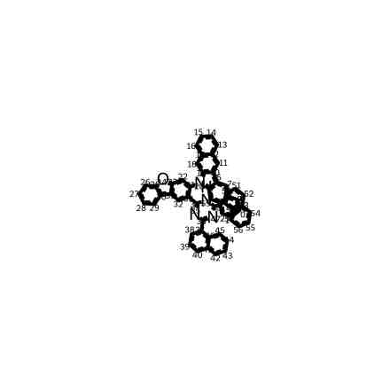 c1ccc2cc3c(cc2c1)c1cc2ccccc2cc1n3-c1cc2oc3ccccc3c2cc1C1=NC(c2cccc3ccccc23)=NC(c2cccc3ccccc23)N1